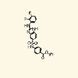 CC(C)OC(=O)c1ccc(NS(=O)(=O)c2ccc3[nH]c(Nc4cccc(F)c4F)nc3c2)cc1